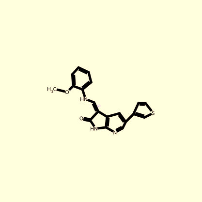 COc1ccccc1N/C=C1\C(=O)Nc2ncc(-c3ccsc3)cc21